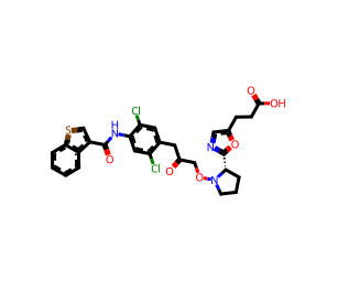 O=C(O)CCc1cnc([C@@H]2CCCN2OCC(=O)Cc2cc(Cl)c(NC(=O)c3csc4ccccc34)cc2Cl)o1